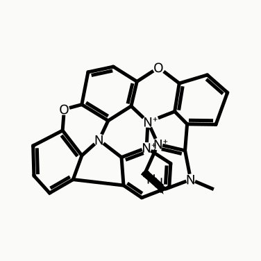 Cn1c2[n+](c3nccnc31)[N+]13c4c(cccc4-2)Oc2ccc4c(c21)-n1c2c(cccc2c2ccc[n+]3c21)O4